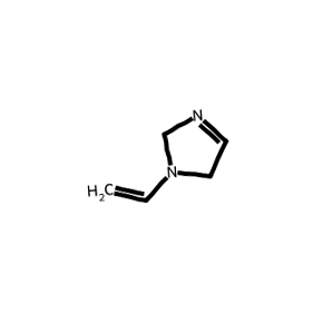 C=CN1CC=NC1